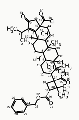 CC(C)C1=C2[C@H]3CC[C@@H]4[C@]5(C)CC[C@H]([C@@]6(C(=O)O)C[C@@H](C(=O)OCc7ccccc7)C6(C)C)C(C)(C)[C@H]5CC[C@@]4(C)[C@]3(C)CC[C@@]2(C(=O)Cl)CC1=O